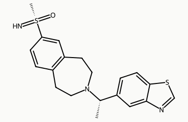 C[C@@H](c1ccc2scnc2c1)N1CCc2ccc([S@@](C)(=N)=O)cc2CC1